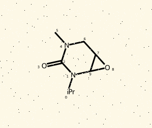 CC(C)N1C(=O)N(C)CC2OC21